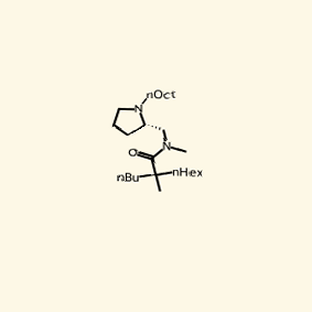 CCCCCCCCN1CCC[C@H]1CN(C)C(=O)C(C)(CCCC)CCCCCC